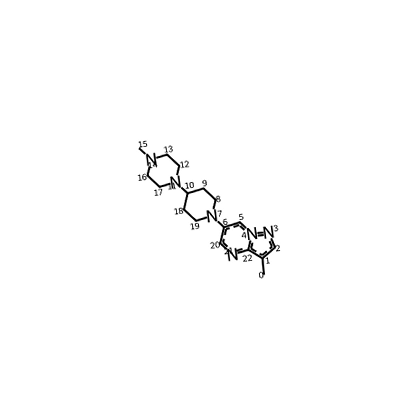 Cc1cnn2cc(N3CCC(N4CCN(C)CC4)CC3)cnc12